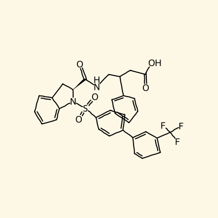 O=C(O)CC(CNC(=O)[C@@H]1Cc2ccccc2N1S(=O)(=O)c1ccc(-c2cccc(C(F)(F)F)c2)cc1)c1ccccc1